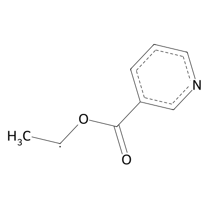 C[CH]OC(=O)c1cccnc1